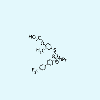 CCCN(CCSc1ccc(OCC(=O)O)c(C)c1)S(=O)(=O)c1ccc(-c2ccc(C(F)(F)F)cc2)cc1